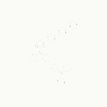 c1ccc(-c2ccc(-c3ccc(-c4ccnc(-n5c6ccccc6c6cc(-c7ccc8c(c7)c7ccccc7n8-c7ccccc7)ccc65)n4)cc3)cc2)cc1